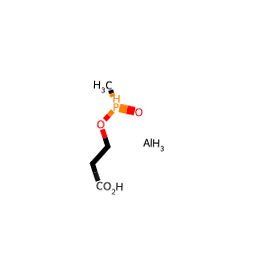 C[PH](=O)OCCC(=O)O.[AlH3]